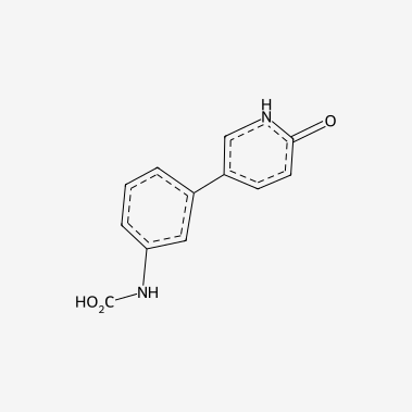 O=C(O)Nc1cccc(-c2ccc(=O)[nH]c2)c1